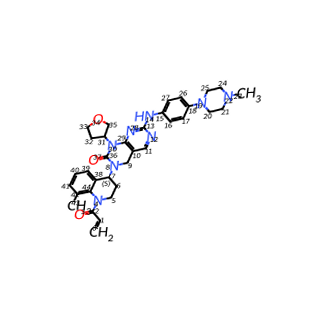 C=CC(=O)N1CC[C@H](N2Cc3cnc(Nc4ccc(N5CCN(C)CC5)cc4)nc3N(C3CCOC3)C2=O)c2cccc(C)c21